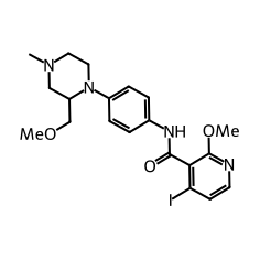 COCC1CN(C)CCN1c1ccc(NC(=O)c2c(I)ccnc2OC)cc1